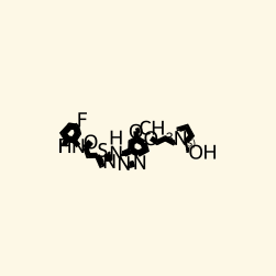 COc1cc2c(Nc3ncc(CC(=O)Nc4cc(F)ccc4F)s3)ncnc2cc1OCCCN1CCC[C@H]1CO